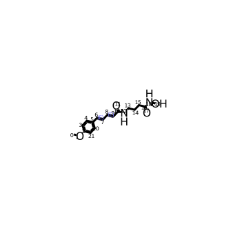 COc1ccc(/C=C/C=C/C(=O)NCCCC(=O)NO)cc1